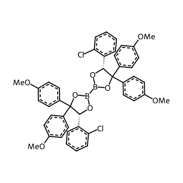 COc1ccc(C2(c3ccc(OC)cc3)OB(B3O[C@H](c4ccccc4Cl)C(c4ccc(OC)cc4)(c4ccc(OC)cc4)O3)O[C@@H]2c2ccccc2Cl)cc1